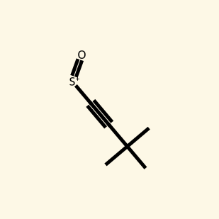 CC(C)(C)C#C[S+]=O